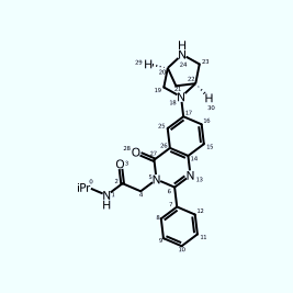 CC(C)NC(=O)Cn1c(-c2ccccc2)nc2ccc(N3C[C@@H]4C[C@H]3CN4)cc2c1=O